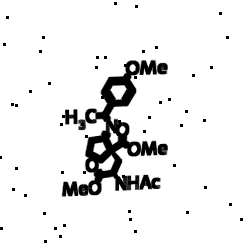 COC(=O)[C@H](C[C@@]1(C(=O)OC)CCC/C1=N\C(C)c1ccc(OC)cc1)NC(C)=O